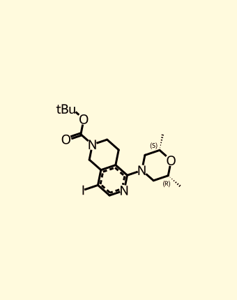 C[C@@H]1CN(c2ncc(I)c3c2CCN(C(=O)OC(C)(C)C)C3)C[C@H](C)O1